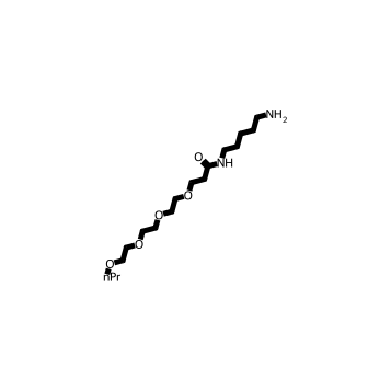 CCCOCCOCCOCCOCCC(=O)NCCCCCN